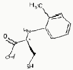 Cc1ccccc1N[C@@H](CS)C(=O)O